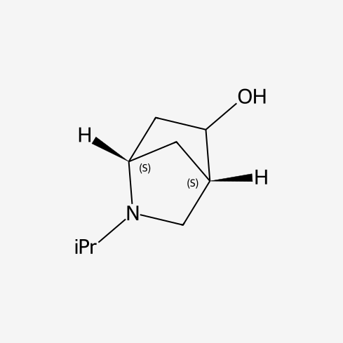 CC(C)N1C[C@@H]2C[C@H]1CC2O